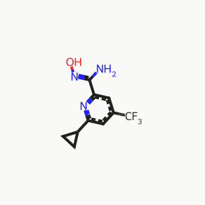 NC(=NO)c1cc(C(F)(F)F)cc(C2CC2)n1